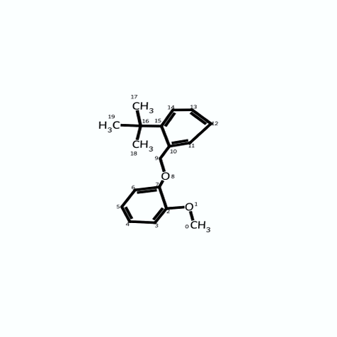 COc1ccccc1OCc1ccccc1C(C)(C)C